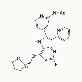 CC(=O)Nc1cc(-c2[nH]c3c(OC[C@H]4CCCO4)cc(F)nc3c2-c2ccccn2)ccn1